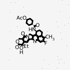 CC[C@@]1(O)C(=O)OCc2c1cc1n(c2=O)Cc2c-1nc1cc(F)c(C)c3c1c2[C@@H](NC(=O)[C@H]1CC[C@H](OC(C)=O)CC1)CC3